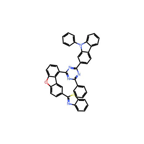 c1ccc(-c2nc(-c3ccc4c5ccccc5n(-c5ccccc5)c4c3)nc(-c3cccc4oc5ccc(-c6nc7ccccc7s6)cc5c34)n2)cc1